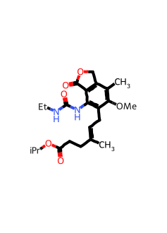 CCNC(=O)Nc1c(C/C=C(\C)CCC(=O)OC(C)C)c(OC)c(C)c2c1C(=O)OC2